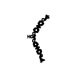 CC(C)(C1CCC(OCC(O)COC2CCC(C(C)(C)C3CCC(OCC4CS4)CC3)CC2)CC1)C1CCC(OCC2CS2)CC1